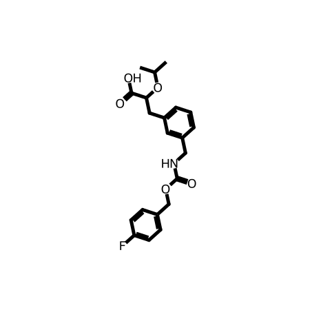 CC(C)OC(Cc1cccc(CNC(=O)OCc2ccc(F)cc2)c1)C(=O)O